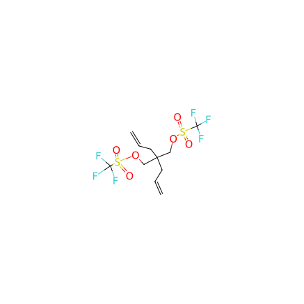 C=CCC(CC=C)(COS(=O)(=O)C(F)(F)F)COS(=O)(=O)C(F)(F)F